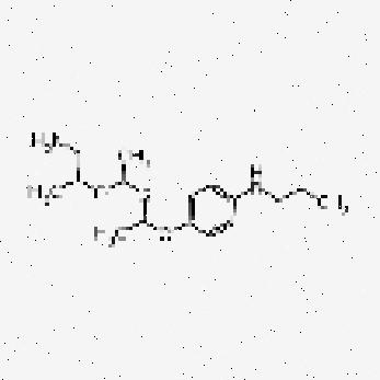 CCCNc1ccc(OC(C)SC(C)OC(C)CN)cc1